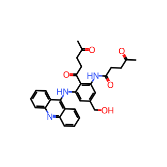 CC(=O)CCC(=O)Nc1cc(CO)cc(Nc2c3ccccc3nc3ccccc23)c1C(=O)CCC(C)=O